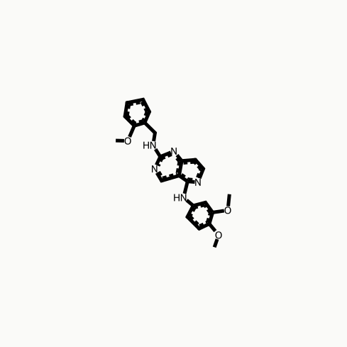 COc1ccccc1CNc1ncc2c(Nc3ccc(OC)c(OC)c3)nccc2n1